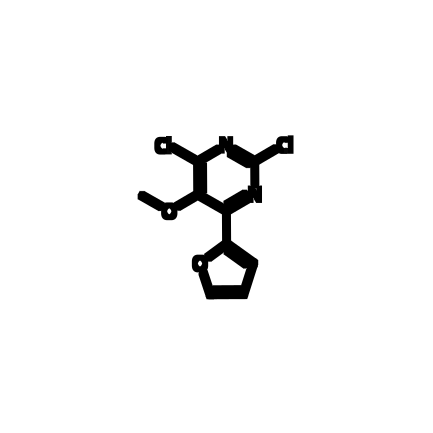 COc1c(Cl)nc(Cl)nc1-c1ccco1